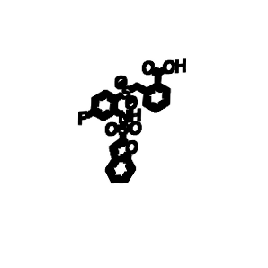 O=C(O)c1ccccc1CS(=O)(=O)c1ccc(F)cc1NS(=O)(=O)c1cc2ccccc2o1